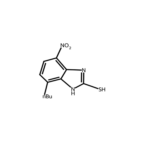 CCCCc1ccc([N+](=O)[O-])c2nc(S)[nH]c12